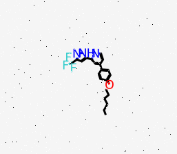 CCCCCCOc1ccc(-c2ccnc(-c3cc(C(F)(F)F)n[nH]3)c2)cc1